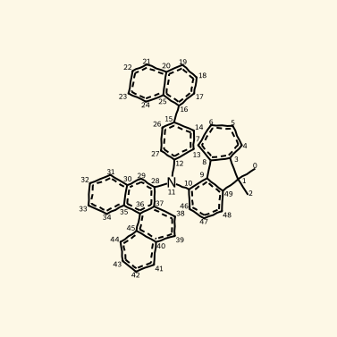 CC1(C)c2ccccc2-c2c(N(c3ccc(-c4cccc5ccccc45)cc3)c3cc4ccccc4c4c3ccc3ccccc34)cccc21